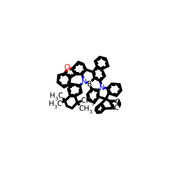 CC1(C)CCC(C)(C)c2cc(N3B4c5cccc6c5N(c5ccccc5C65c6ccccc6-c6ccccc65)c5cc6ccccc6c(c54)-c4ccc5oc6ccccc6c5c43)ccc21